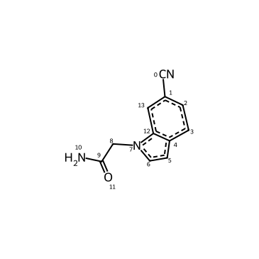 N#Cc1ccc2ccn(CC(N)=O)c2c1